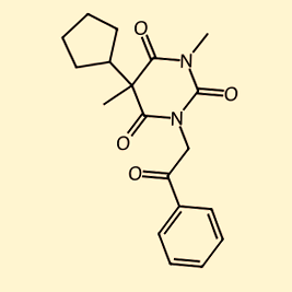 CN1C(=O)N(CC(=O)c2ccccc2)C(=O)C(C)(C2CCCC2)C1=O